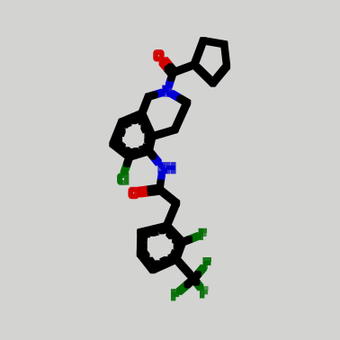 O=C(Cc1cccc(C(F)(F)F)c1F)Nc1c(Cl)ccc2c1CCN(C(=O)C1CCCC1)C2